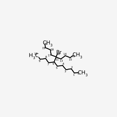 CCCCCCC(CCCC)C(Br)(CCCC)CCCC